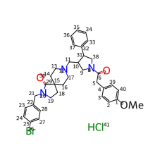 COc1ccc(CC(=O)N2CC(CN3CCC4(CC3)CCN(Cc3ccc(Br)cc3)C4=O)C(c3ccccc3)C2)cc1.Cl